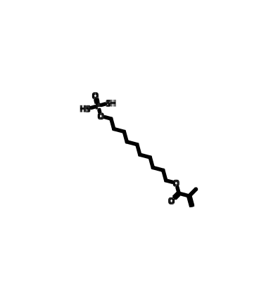 C=C(C)C(=O)OCCCCCCCCCCOP(=O)(S)S